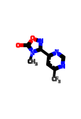 Cn1c(-c2cc(C(F)(F)F)ncn2)noc1=O